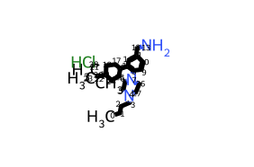 CCCCN1CCN(c2ccc(CN)cc2C2CCC(C(C)(C)C)CC2)CC1.Cl